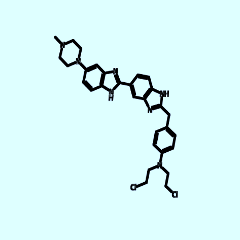 CN1CCN(c2ccc3[nH]c(-c4ccc5[nH]c(Cc6ccc(N(CCCl)CCCl)cc6)nc5c4)nc3c2)CC1